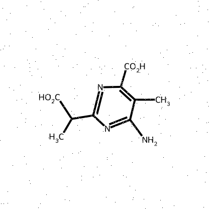 Cc1c(N)nc(C(C)C(=O)O)nc1C(=O)O